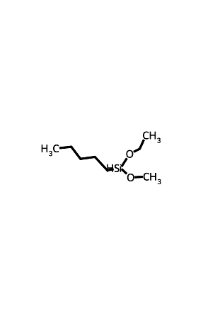 CCCCC[SiH](OC)OCC